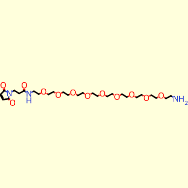 NCCOCCOCCOCCOCCOCCOCCOCCOCCOCCNC(=O)CCN1C(=O)C=CC1=O